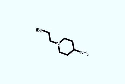 CCC(C)CCN1CCC(N)CC1